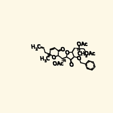 C=CC[C@]1(C)C=CC(=O)C([C@@H](OC(C)=O)C2OC(C[C@@](C)(COC(C)=O)OC(C)=O)C(OCc3ccccc3)C2=O)O1